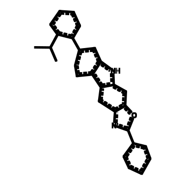 CC(C)c1ccccc1-c1ccc2c(c1)[nH]c1cc3oc(-c4ccccc4)nc3cc12